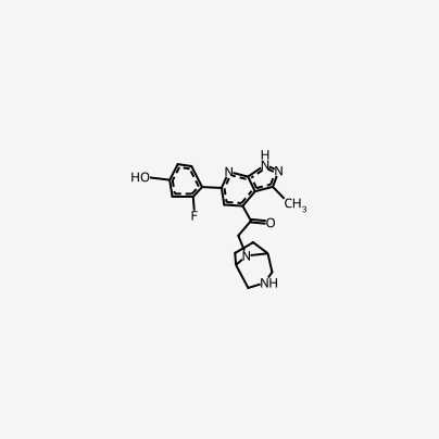 Cc1n[nH]c2nc(-c3ccc(O)cc3F)cc(C(=O)CN3C4CCC3CNC4)c12